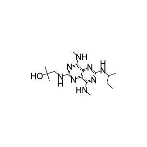 CCC(C)Nc1nc(NC)c2nc(NCC(C)(C)O)nc(NC)c2n1